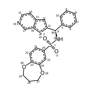 O=S(=O)(N[C@H](c1ccccc1)c1cc2ccncc2s1)c1ccc2c(c1)OCCCO2